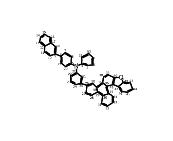 c1ccc(N(c2ccc(-c3ccc4ccccc4c3)cc2)c2cccc(-c3ccc4c5ccccc5c5c(ccc6oc7ccccc7c65)c4c3)c2)cc1